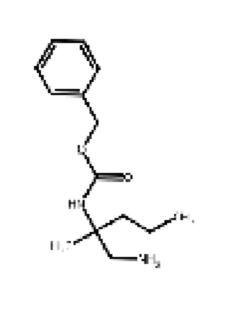 CCCC(C)(CN)NC(=O)OCc1ccccc1